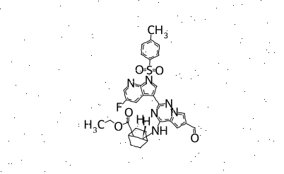 CCOC(=O)[C@@H]1C2CCC(CC2)[C@H]1Nc1nc(-c2cn(S(=O)(=O)c3ccc(C)cc3)c3ncc(F)cc23)nn2cc(C=O)cc12